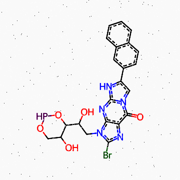 O=c1c2nc(Br)n(CC(O)C3OPOCC3O)c2nc2[nH]c(-c3ccc4ccccc4c3)cn12